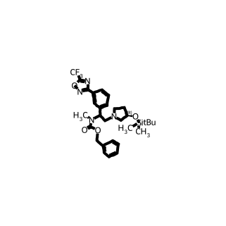 CN(C(=O)OCc1ccccc1)C(CN1CC[C@@H](O[Si](C)(C)C(C)(C)C)C1)c1cccc(-c2noc(C(F)(F)F)n2)c1